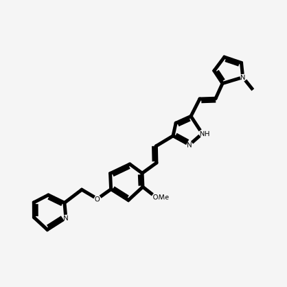 COc1cc(OCc2ccccn2)ccc1C=Cc1cc(C=Cc2cccn2C)[nH]n1